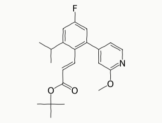 COc1cc(-c2cc(F)cc(C(C)C)c2C=CC(=O)OC(C)(C)C)ccn1